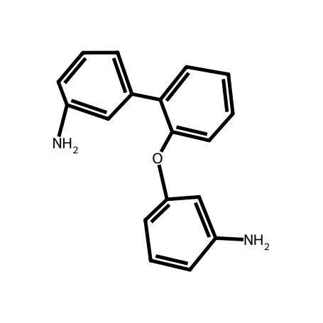 Nc1cccc(Oc2ccccc2-c2cccc(N)c2)c1